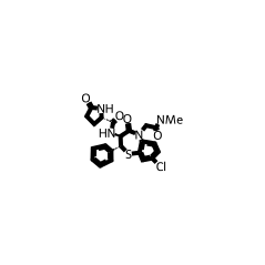 CNC(=O)CN1C(=O)[C@H](NC(=O)[C@@H]2CCC(=O)N2)[C@@H](c2ccccc2)Sc2cc(Cl)ccc21